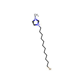 Cn1cc[n+](CCCCCCCCCCCCBr)c1